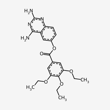 CCOc1cc(C(=O)Oc2ccc3nc(N)nc(N)c3c2)cc(OCC)c1OCC